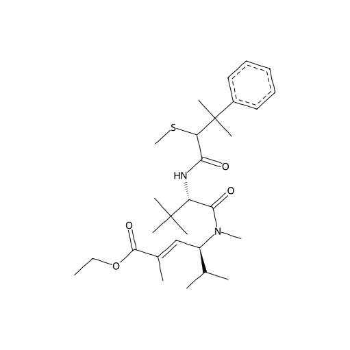 CCOC(=O)/C(C)=C/[C@H](C(C)C)N(C)C(=O)[C@@H](NC(=O)C(SC)C(C)(C)c1ccccc1)C(C)(C)C